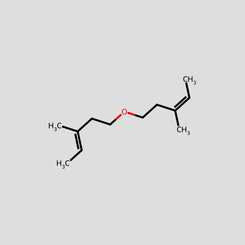 CC=C(C)CCOCCC(C)=CC